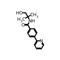 CC(C)(CO)NC(=O)c1ccc(-c2ccccn2)cc1